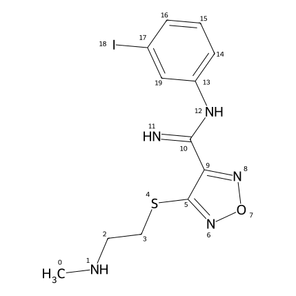 CNCCSc1nonc1C(=N)Nc1cccc(I)c1